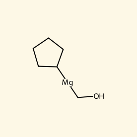 O[CH2][Mg][CH]1CCCC1